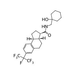 O=C(NCC1(O)CCCCC1)[C@@H]1CC[C@H]2c3ccc(C(F)(C(F)(F)F)C(F)(F)F)cc3CC[C@@H]12